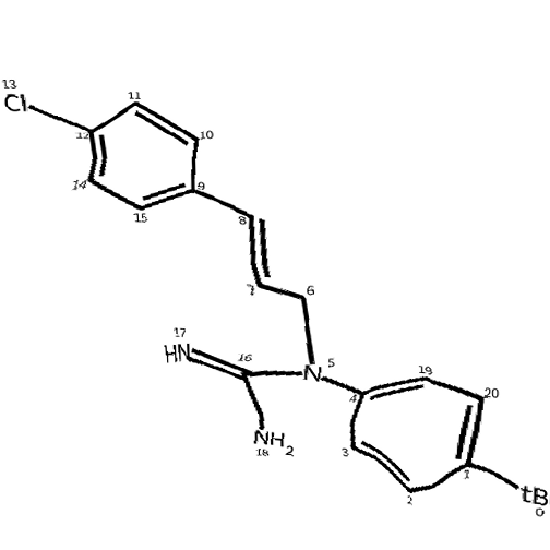 CC(C)(C)c1ccc(N(CC=Cc2ccc(Cl)cc2)C(=N)N)cc1